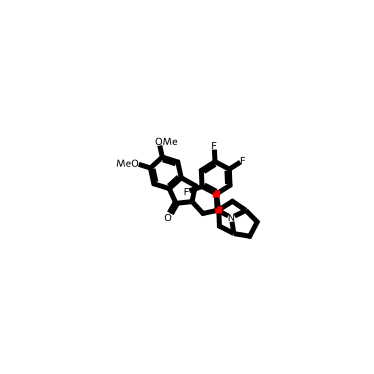 COc1cc2c(cc1OC)C(=O)C(CC1(F)CC3CCC(C1)N3Cc1cc(F)c(F)cc1F)C2